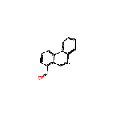 O=Cc1cccc2c1c[c]c1ccccc12